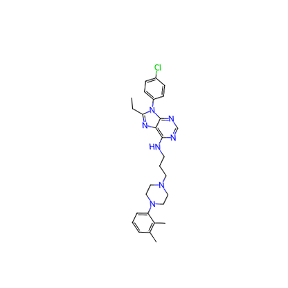 CCc1nc2c(NCCCN3CCN(c4cccc(C)c4C)CC3)ncnc2n1-c1ccc(Cl)cc1